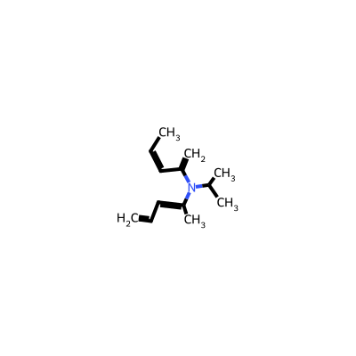 C=C/C=C(\C)N(C(=C)/C=C\C)C(C)C